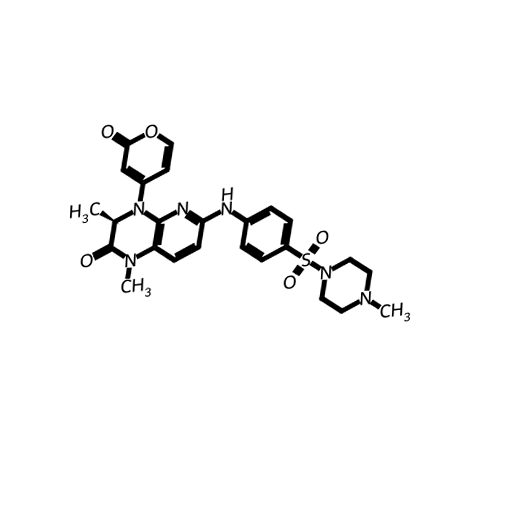 C[C@@H]1C(=O)N(C)c2ccc(Nc3ccc(S(=O)(=O)N4CCN(C)CC4)cc3)nc2N1c1ccoc(=O)c1